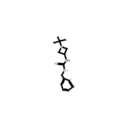 CC(C)(C)N1CC(NC(=O)OCc2ccccc2)C1